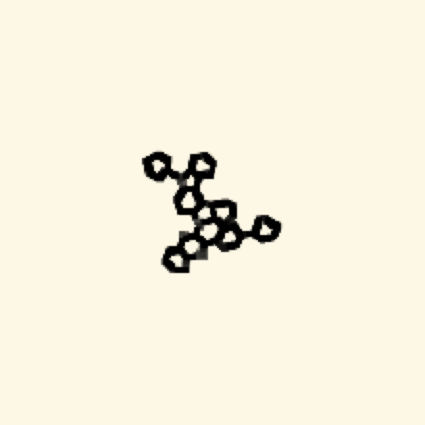 c1ccc(-c2ccc(-c3nc4ccccc4nc3-n3c4ccccc4c4c5c6ccccc6n(-c6ccccc6)c5ccc43)cc2)cc1